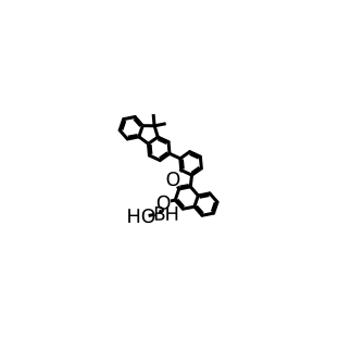 CC1(C)c2ccccc2-c2ccc(-c3cccc4c3oc3c(OBO)cc5ccccc5c34)cc21